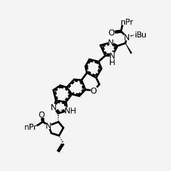 C=C[C@H]1C[C@@H](c2nc3ccc4cc5c(cc4c3[nH]2)OCc2cc(-c3cnc([C@H](C)N(C(=O)CCC)[C@@H](C)CC)[nH]3)ccc2-5)N(C(=O)CCC)C1